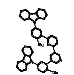 CC(C)(C)c1ccc(-n2c3ccccc3c3ccccc32)cc1-c1cncc(-c2cccc(-c3cc(-n4c5ccccc5c5ccccc54)ccc3C(C)(C)C)n2)c1